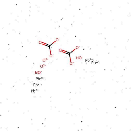 O=C([O-])[O-].O=C([O-])[O-].[O-2].[O-2].[OH-].[OH-].[Pb+2].[Pb+2].[Pb+2].[Pb+2].[Pb+2]